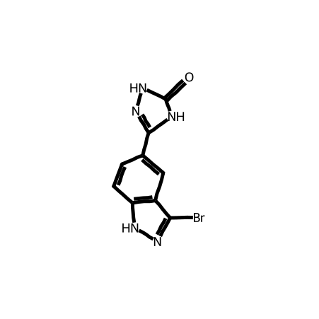 O=c1[nH]nc(-c2ccc3[nH]nc(Br)c3c2)[nH]1